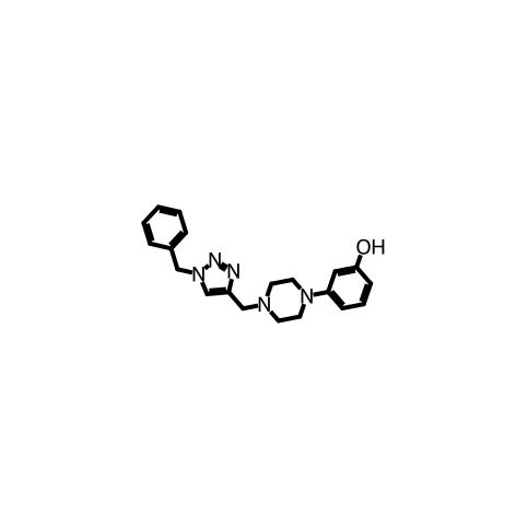 Oc1cccc(N2CCN(Cc3cn(Cc4ccccc4)nn3)CC2)c1